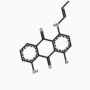 CC=CNc1ccc(Br)c2c1C(=O)c1cccc(O)c1C2=O